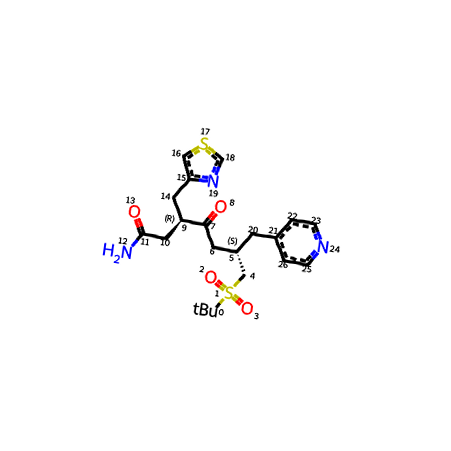 CC(C)(C)S(=O)(=O)C[C@H](CC(=O)[C@@H](CC(N)=O)Cc1cscn1)Cc1ccncc1